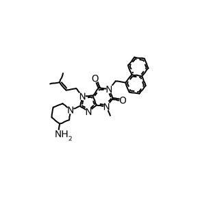 CC(C)=CCn1c(N2CCCC(N)C2)nc2c1c(=O)n(Cc1cccc3ccccc13)c(=O)n2C